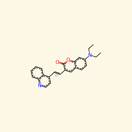 CCN(CC)c1ccc2cc(/C=C/c3ccnc4ccccc34)c(=O)oc2c1